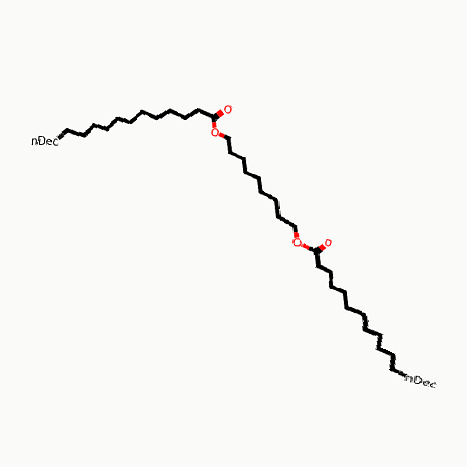 CCCCCCCCCCCCCCCCCCCCCC(=O)OCCCCCCCCCOC(=O)CCCCCCCCCCCCCCCCCCCCC